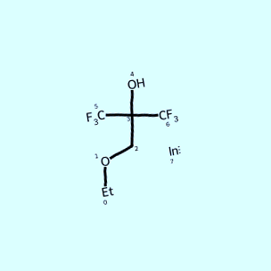 CCOCC(O)(C(F)(F)F)C(F)(F)F.[In]